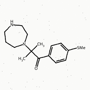 CSc1ccc(C(=O)C(C)(C)N2CCCNCC2)cc1